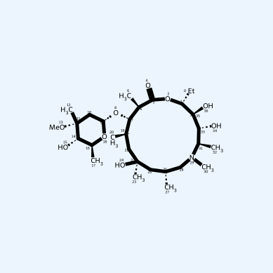 CC[C@H]1OC(=O)[C@H](C)[C@@H](O[C@H]2C[C@@](C)(OC)[C@@H](O)[C@H](C)O2)[C@H](C)C[C@](C)(O)C[C@@H](C)CN(C)[C@H](C)[C@@H](O)[C@@H]1O